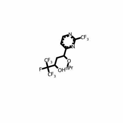 CCCOC(CC(O)C(F)(C(F)(F)F)C(F)(F)F)c1ccnc(C(F)(F)F)n1